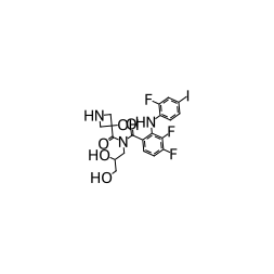 O=C(c1ccc(F)c(F)c1Nc1ccc(I)cc1F)N(CC(O)CO)C(=O)C1(O)CNC1